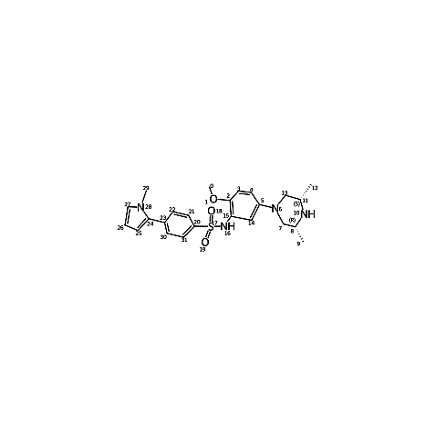 COc1ccc(N2C[C@@H](C)N[C@@H](C)C2)cc1NS(=O)(=O)c1ccc(-c2cccn2C)cc1